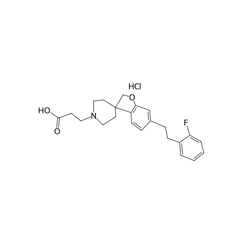 Cl.O=C(O)CCN1CCC2(CC1)COc1cc(CCc3ccccc3F)ccc12